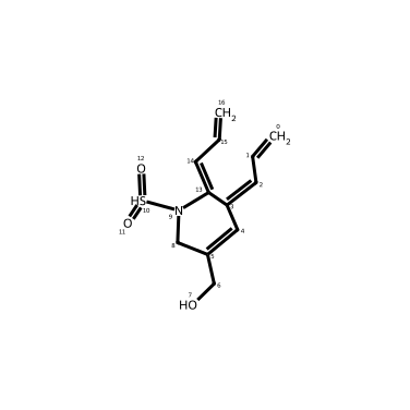 C=C/C=C1/C=C(CO)CN([SH](=O)=O)/C1=C/C=C